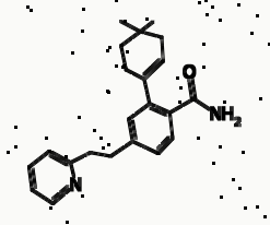 CC1(C)CC=C(c2cc(CCc3ccccn3)ccc2C(N)=O)CC1